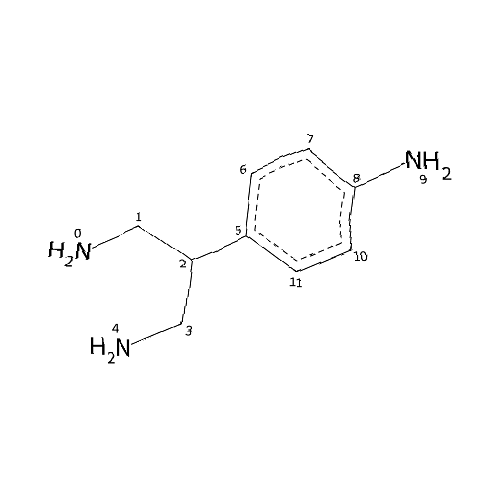 NCC(CN)c1ccc(N)cc1